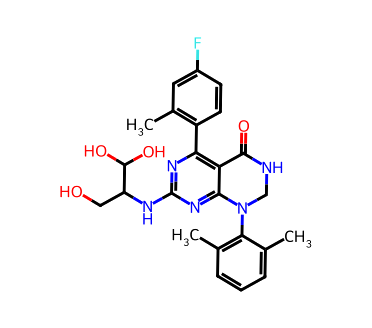 Cc1cc(F)ccc1-c1nc(NC(CO)C(O)O)nc2c1C(=O)NCN2c1c(C)cccc1C